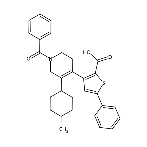 CC1CCC(C2=C(c3cc(-c4ccccc4)sc3C(=O)O)CCN(C(=O)c3ccccc3)C2)CC1